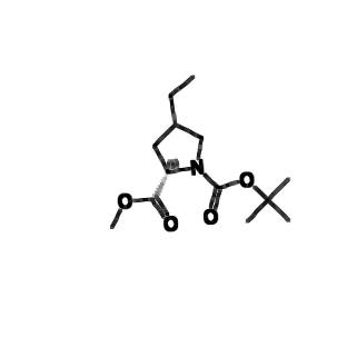 CCC1C[C@@H](C(=O)OC)N(C(=O)OC(C)(C)C)C1